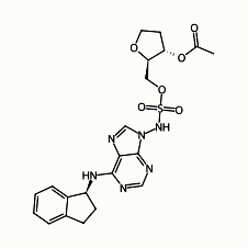 CC(=O)O[C@H]1CCO[C@@H]1COS(=O)(=O)Nn1cnc2c(N[C@H]3CCc4ccccc43)ncnc21